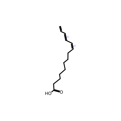 C=C/C=C/C=C\CCCCCCCC(=O)O